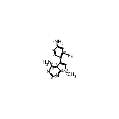 Cn1cc(-c2ccc(N)cc2F)c2c(N)ncnc21